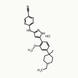 CCN1CCC(F)(c2ccc(-c3cc(Nc4cnc(C#N)cn4)n[nH]3)c(OC)c2)CC1.Cl